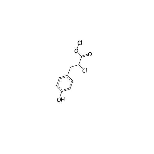 O=C(OCl)C(Cl)Cc1ccc(O)cc1